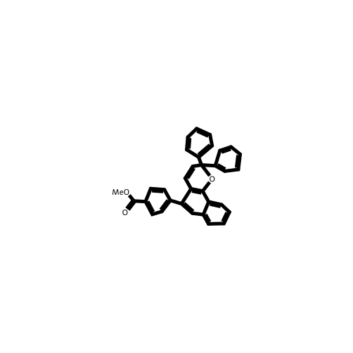 COC(=O)c1ccc(-c2cc3ccccc3c3c2C=CC(c2ccccc2)(c2ccccc2)O3)cc1